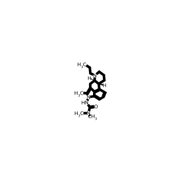 CCCN1CCC[C@@H]2c3cccc4c3c(c(C)n4NC(=O)N(C)C)C[C@H]21